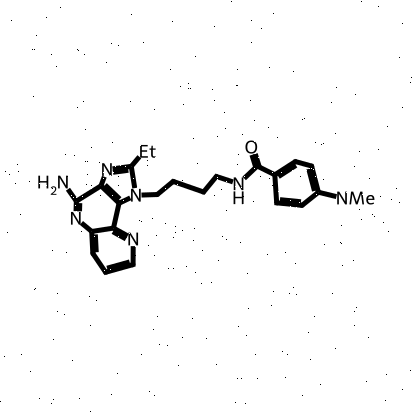 CCc1nc2c(N)nc3cccnc3c2n1CCCCNC(=O)c1ccc(NC)cc1